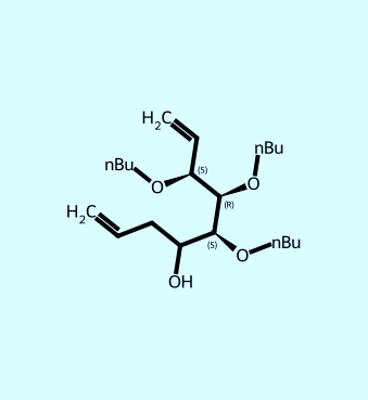 C=CCC(O)[C@H](OCCCC)[C@H](OCCCC)[C@H](C=C)OCCCC